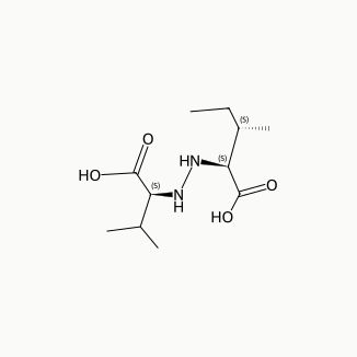 CC[C@H](C)[C@H](NN[C@H](C(=O)O)C(C)C)C(=O)O